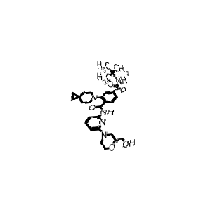 CC(C)(C)NS(=O)(=O)c1ccc(C(=O)Nc2cccc(N3CCO[C@H](CO)C3)n2)c(N2CCC3(CC2)CC3)c1